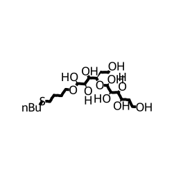 CCCCSCCCCO[C@H](O)[C@@H](O)C(O)[C@@H](CCO)O[C@H](O)[C@@H](O)C(O)[C@@H](O)CCO